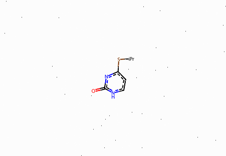 CC(C)Sc1cc[nH]c(=O)n1